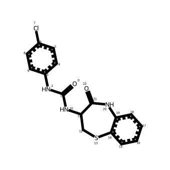 O=C(Nc1ccc(Cl)cc1)NC1CSc2ccccc2NC1=O